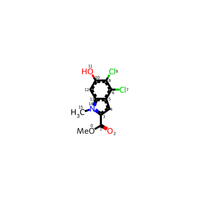 COC(=O)c1cc2c(Cl)c(Cl)c(O)cc2n1C